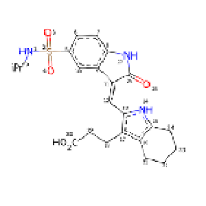 CC(C)NS(=O)(=O)c1ccc2c(c1)C(=Cc1[nH]c3c(c1CCC(=O)O)CCCC3)C(=O)N2